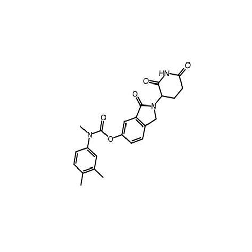 Cc1ccc(N(C)C(=O)Oc2ccc3c(c2)C(=O)N(C2CCC(=O)NC2=O)C3)cc1C